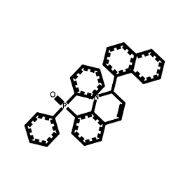 O=P(c1ccccc1)(c1ccccc1)c1cccc2c1NC(c1cccc3ccccc13)C=C2